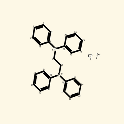 [Cl-].[Ir+].c1ccc(P(CCP(c2ccccc2)c2ccccc2)c2ccccc2)cc1